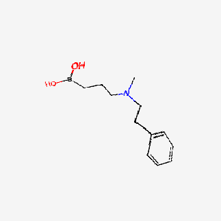 CN(CCCB(O)O)CCc1ccccc1